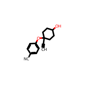 C#CC1(Oc2ccc(C#N)cc2)CCC(O)CC1